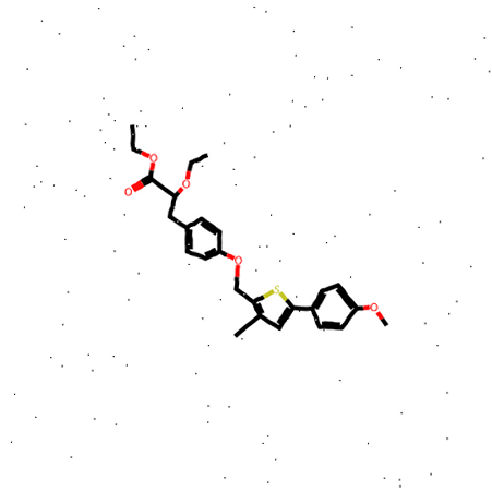 CCOC(=O)C(Cc1ccc(OCc2sc(-c3ccc(OC)cc3)cc2C)cc1)OCC